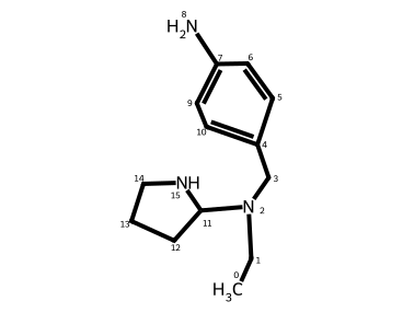 CCN(Cc1ccc(N)cc1)C1CCCN1